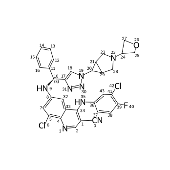 N#Cc1cnc2c(Cl)cc(N[C@@H](c3ccccc3)c3cn(C4C5CN(C6COC6)CC54)nn3)cc2c1Nc1ccc(F)c(Cl)c1